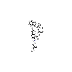 CCOC(=O)CC/C=C/c1ccc(OC(C)C)cc1[C@@H](C)OC[C@H](O)CNC(C)(C)CC1Cc2ccccc2C1